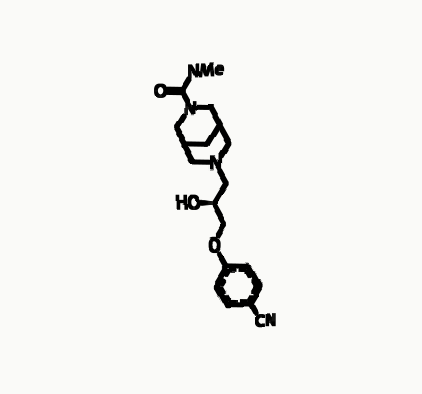 CNC(=O)N1CC2CC(CN(C[C@H](O)COc3ccc(C#N)cc3)C2)C1